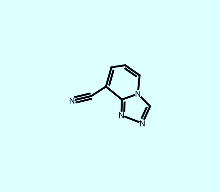 N#Cc1cccn2cnnc12